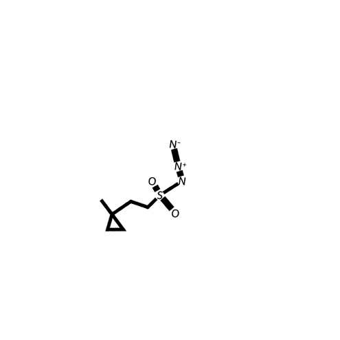 CC1(CCS(=O)(=O)N=[N+]=[N-])CC1